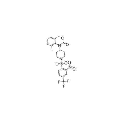 Cc1cccc2c1N(C1CCN(S(=O)(=O)c3ccc(C(F)(F)F)cc3[N+](=O)[O-])CC1)C(=O)OC2